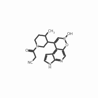 CC1CCN(C(=O)CC#N)CC1C1=CB(O)Oc2cnc3[nH]ccc3c21